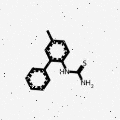 Cc1ccc(NC(N)=S)c(-c2ccccc2)c1